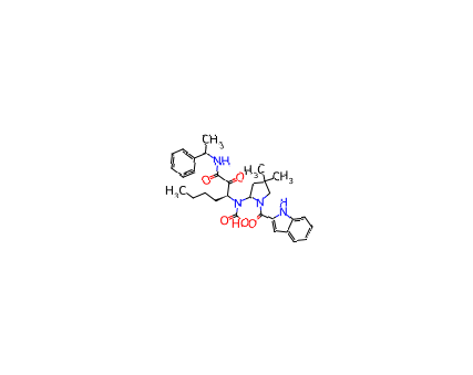 CCCC[C@@H](C(=O)C(=O)NC(C)c1ccccc1)N(C(=O)O)C1CC(C)(C)CN1C(=O)c1cc2ccccc2[nH]1